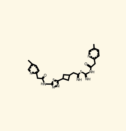 Cc1ccc(CC(=O)NC(=N)SC(=N)CC2CC(c3nnc(NC(=O)Cc4ccc(C)cn4)s3)C2)nc1